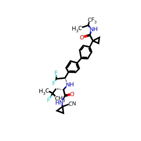 CC(NC(=O)C1(c2ccc(-c3ccc([C@H](N[C@@H](CC(C)(C)F)C(=O)NC4(C#N)CC4)C(F)F)cc3)cc2)CC1)C(F)(F)F